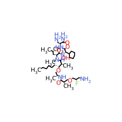 CCCCCC[C@@H](OC[C@@H](C)NC(=O)[C@@H](C)COC[C@H](F)CN)[C@@H](C)C(O)N(C)[C@@H](CC(C)C)C(=O)N[C@H](C(=O)N[C@@H](CN)C(N)=O)C1CCCCC1